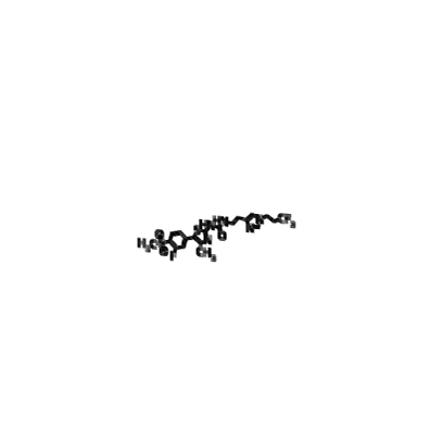 Cc1nc(NC(=O)NCCc2cn(CCC(F)(F)F)cn2)sc1-c1ccc(S(C)(=O)=O)c(F)c1